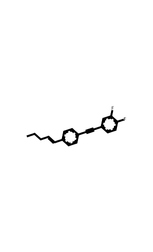 CCCC=Cc1ccc(C#Cc2ccc(F)c(F)c2)cc1